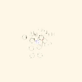 CC1(C)CCC(C)(C)c2cc(-c3cc4c(cc3N(c3ccc5c(c3)C(C)(C)c3ccccc3-5)c3cccc5c3C(C)(C)CCC5(C)C)C(c3ccccc3)(c3ccccc3)c3ccccc3-4)ccc21